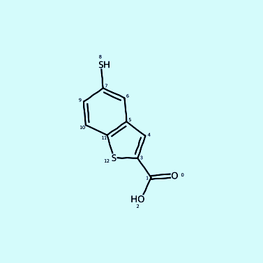 O=C(O)c1cc2cc(S)ccc2s1